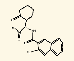 Nc1cc2ccccc2cc1C(=O)N[C@H](C(=O)O)[C@@H]1CCCCC1=O